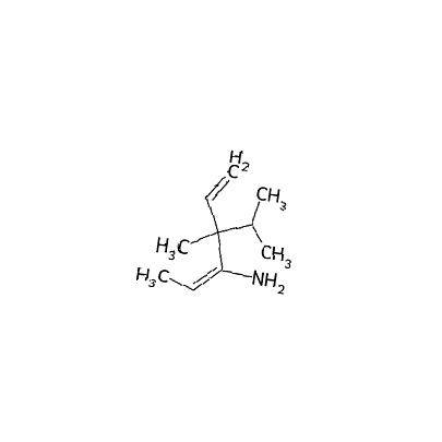 C=CC(C)(/C(N)=C\C)C(C)C